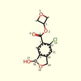 O=C(OC1COC1)c1cc2c(cc1Cl)COB2O